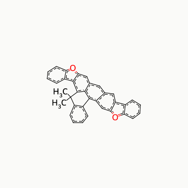 CC1(C)c2ccccc2-c2c3cc4oc5ccccc5c4cc3cc3cc4oc5ccccc5c4c1c23